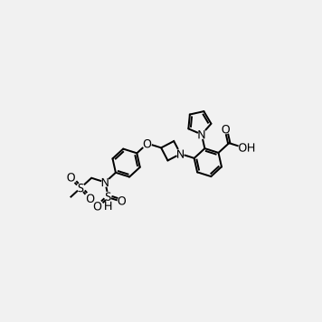 CS(=O)(=O)CN(c1ccc(OC2CN(c3cccc(C(=O)O)c3-n3cccc3)C2)cc1)[SH](=O)=O